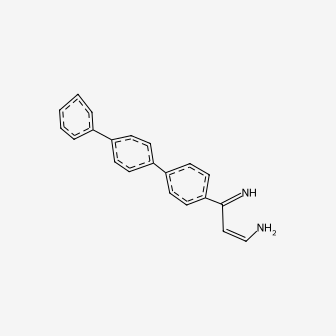 N=C(/C=C\N)c1ccc(-c2ccc(-c3ccccc3)cc2)cc1